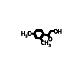 Cc1ccc(C(=O)CO)c(C)c1